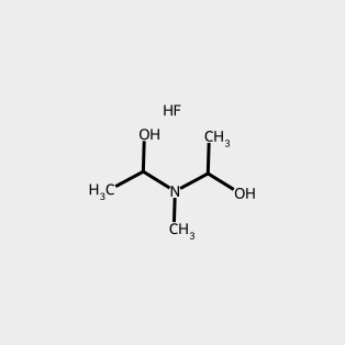 CC(O)N(C)C(C)O.F